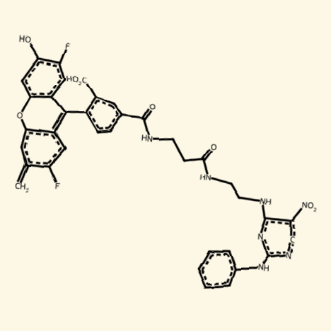 C=c1cc2c(cc1F)=C(c1ccc(C(=O)NCCC(=O)NCCNc3nc(Nc4ccccc4)ncc3[N+](=O)[O-])cc1C(=O)O)c1cc(F)c(O)cc1O2